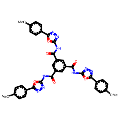 COc1ccc(-c2nnc(NC(=O)c3cc(C(=O)Nc4nnc(-c5ccc(OC)cc5)o4)cc(C(=O)Nc4nnc(-c5ccc(OC)cc5)o4)c3)o2)cc1